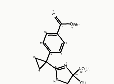 COC(=O)c1ccc(C2(C3=NC(O)(C(=O)O)CS3)CC2)cc1